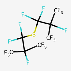 FC(F)(F)C(F)(C(F)(F)F)C(F)(F)SC(F)(F)C(F)(C(F)(F)F)C(F)(F)F